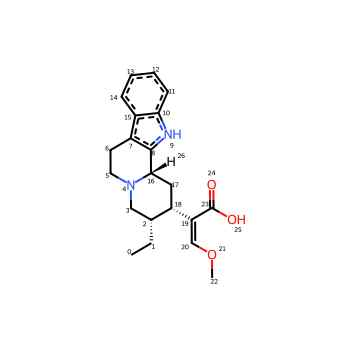 CC[C@@H]1CN2CCc3c([nH]c4ccccc34)[C@@H]2C[C@@H]1C(=COC)C(=O)O